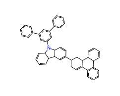 C1=CC2c3ccccc3C3=CCC(C4=CC5C6C=CC=CC6N(c6cc(-c7ccccc7)cc(-c7ccccc7)c6)C5C=C4)CC3C2C=C1